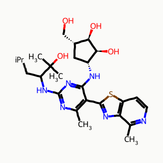 Cc1nc(NC(CC(C)C)C(C)(C)O)nc(N[C@@H]2C[C@H](CO)[C@@H](O)[C@H]2O)c1-c1nc2c(C)nccc2s1